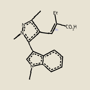 CC/C(=C\c1c(C)nn(C)c1-c1cn(C)c2ccccc12)C(=O)O